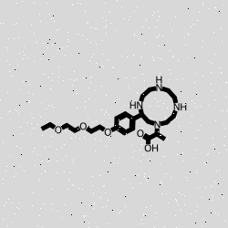 CCOCCOCCOc1ccc(C2CN(C(C)C(=O)O)CCNCCNCCN2)cc1